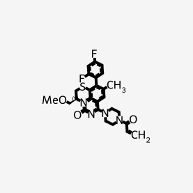 C=CC(=O)N1CCN(c2nc(=O)n3c4c(c(-c5ccc(F)cc5F)c(C)cc24)SC[C@@H]3COC)CC1